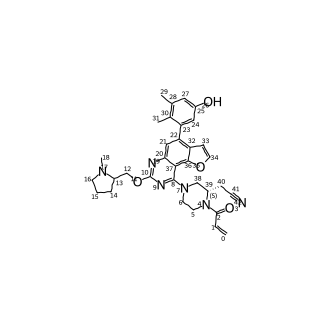 C=CC(=O)N1CCN(c2nc(OCC3CCCN3C)nc3cc(-c4cc(O)cc(C)c4C)c4ccoc4c23)C[C@@H]1CC#N